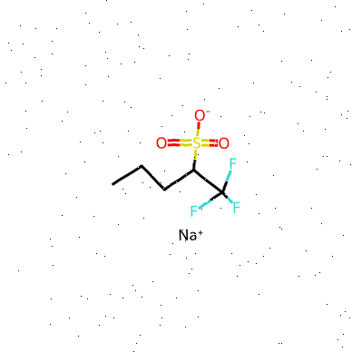 CCCC(C(F)(F)F)S(=O)(=O)[O-].[Na+]